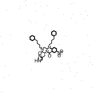 O=C1[C@H](Cc2c[nH]cn2)N2C(=O)c3cc([N+](=O)[O-])ccc3N(CCCCc3ccccc3)C2CN1CCCCc1ccccc1